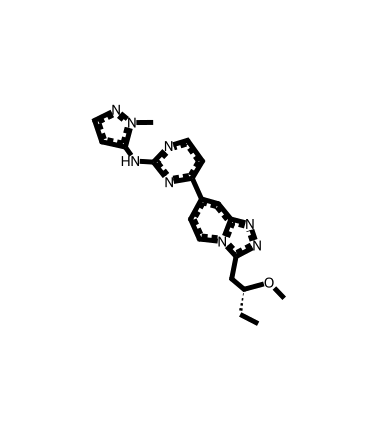 CC[C@H](Cc1nnc2cc(-c3ccnc(Nc4ccnn4C)n3)ccn12)OC